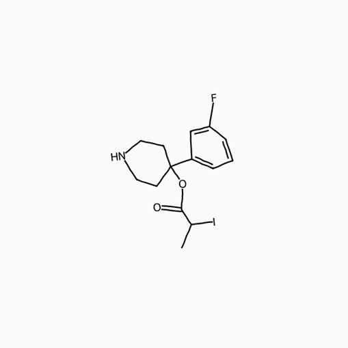 CC(I)C(=O)OC1(c2cccc(F)c2)CCNCC1